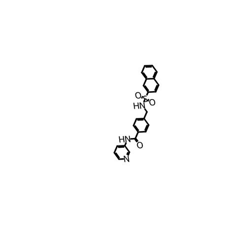 O=C(Nc1cccnc1)c1ccc(CNS(=O)(=O)c2ccc3ccccc3c2)cc1